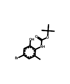 Cc1cc(Br)cc(O)c1NC(=O)OC(C)(C)C